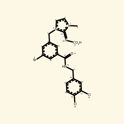 Cn1ccn(Cc2cc(Br)cc(C(=O)NCc3ccc(Cl)c(Cl)c3)c2)/c1=N/C(=O)O